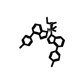 CC[Si](C)=[Hf]([CH3])([CH3])([CH]1C=Cc2c(-c3ccc(C)cc3)cccc21)[CH]1C=Cc2c(-c3ccc(C)cc3)cccc21